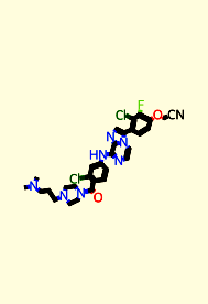 CN(C)CCCN1CCN(C(=O)c2ccc(Nc3nccn4c(-c5ccc(OCC#N)c(F)c5Cl)cnc34)cc2Cl)CC1